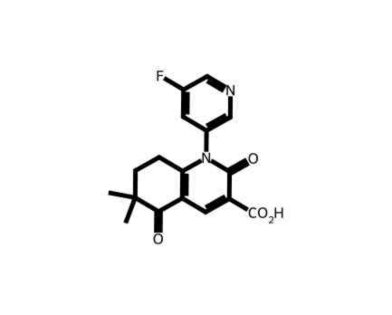 CC1(C)CCc2c(cc(C(=O)O)c(=O)n2-c2cncc(F)c2)C1=O